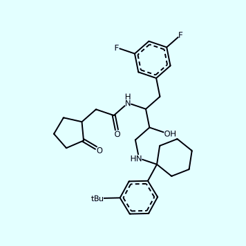 CC(C)(C)c1cccc(C2(NCC(O)C(Cc3cc(F)cc(F)c3)NC(=O)CC3CCCC3=O)CCCCC2)c1